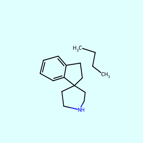 CCCC.c1ccc2c(c1)CCC21CCNCC1